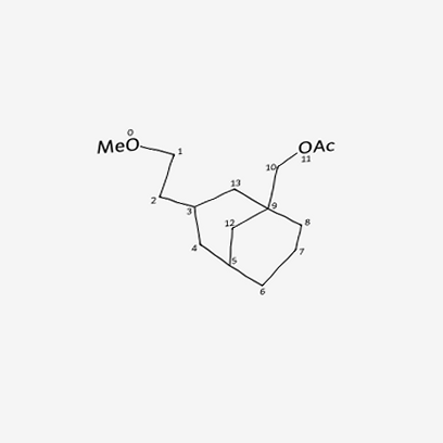 COCCC1CC2CCCC(COC(C)=O)(C2)C1